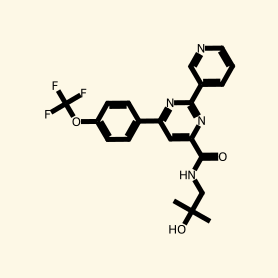 CC(C)(O)CNC(=O)c1cc(-c2ccc(OC(F)(F)F)cc2)nc(-c2cccnc2)n1